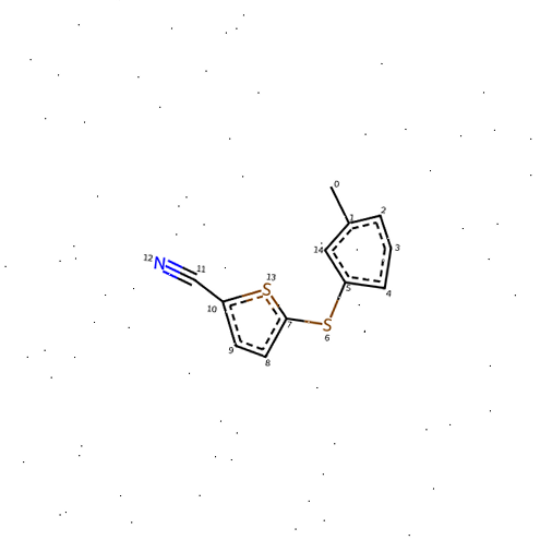 Cc1cccc(Sc2ccc(C#N)s2)c1